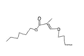 CCCCCCOC(=O)C(C)=COCCCC